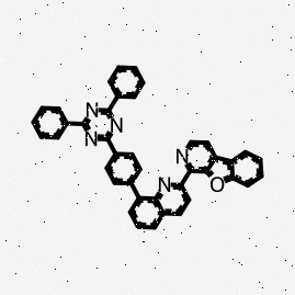 c1ccc(-c2nc(-c3ccccc3)nc(-c3ccc(-c4cccc5ccc(-c6nccc7c6oc6ccccc67)nc45)cc3)n2)cc1